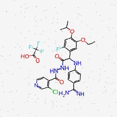 CCOc1cc(C(Nc2ccc(C(=N)N)cc2)C(=O)NNC(=O)c2ccncc2Cl)c(F)cc1OC(C)C.O=C(O)C(F)(F)F